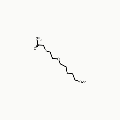 CC(=O)OCCOCCOCCOCC(N)=O